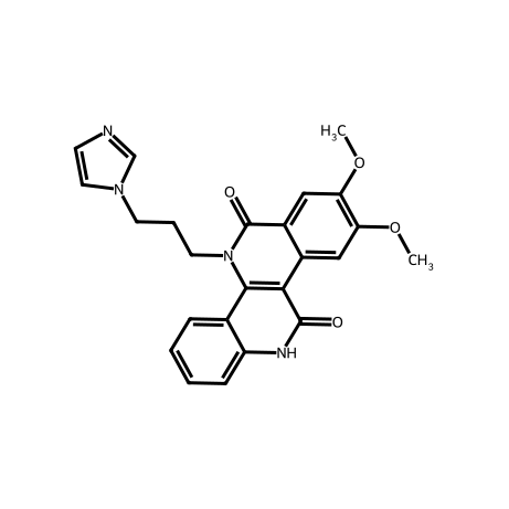 COc1cc2c(=O)n(CCCn3ccnc3)c3c4ccccc4[nH]c(=O)c3c2cc1OC